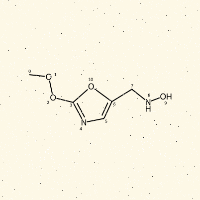 COOc1ncc(CNO)o1